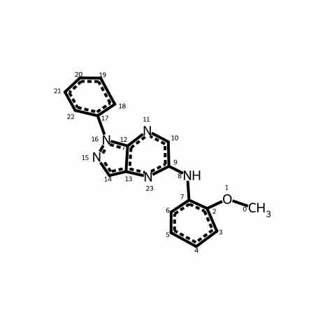 COc1ccccc1Nc1cnc2c(cnn2-c2ccccc2)n1